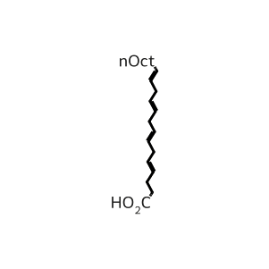 CCCCCCCCC=CCC=CCC=CCC=CCCC(=O)O